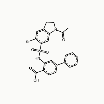 CC(=O)N1CCc2cc(Br)c(S(=O)(=O)Nc3cc(-c4ccccc4)ccc3C(=O)O)cc21